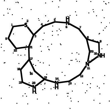 C1CSC2CCNCC3CNN(CCNC4CC(CCN4)C2C1)C3